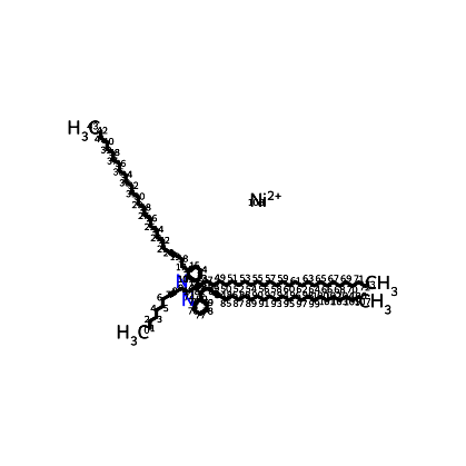 CCCCCCCC#CC(=N/c1ccccc1CCC#CCCCCCCCCCCCCCCCCCCCCCCC)/C(C#CCCCCCCCCCCCCCCCCCCCCCCCCCCC)=N/c1ccccc1CCC#CCCCCCCCCCCCCCCCCCCCCCCC.[Ni+2]